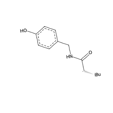 CC[C@@H](C)[CH]C(=O)NCc1ccc(O)cc1